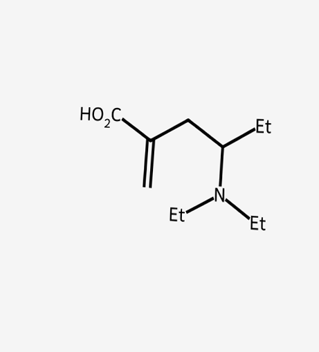 C=C(CC(CC)N(CC)CC)C(=O)O